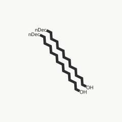 CCCCCCCCCCCCCCCCCCCCCCO.CCCCCCCCCCCCCCCCCCCCCCO